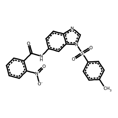 Cc1ccc(S(=O)(=O)n2cnc3ccc(NC(=O)c4ccccc4[N+](=O)[O-])cc32)cc1